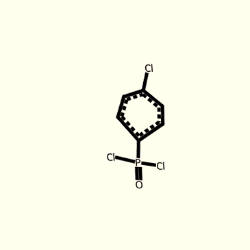 O=P(Cl)(Cl)c1ccc(Cl)cc1